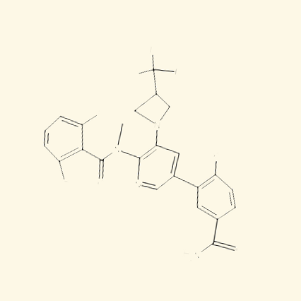 CN(C(=O)c1c(F)cccc1Cl)c1ncc(-c2cc(C(N)=O)ccc2Cl)cc1N1CC(C(F)(F)F)C1